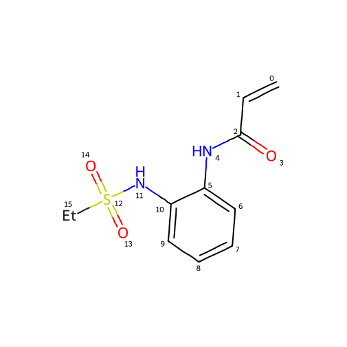 C=CC(=O)Nc1ccccc1NS(=O)(=O)CC